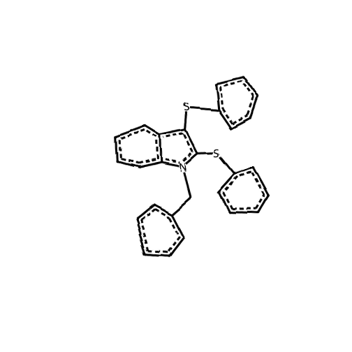 c1ccc(Cn2c(Sc3ccccc3)c(Sc3ccccc3)c3ccccc32)cc1